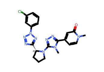 Cn1c(-c2ccn(C)c(=O)c2)nnc1N1CCC[C@@H]1c1nnn(-c2cccc(Cl)c2)n1